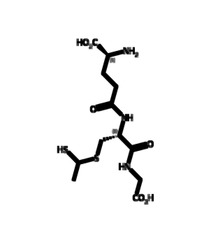 CC(S)SC[C@H](NC(=O)CC[C@H](N)C(=O)O)C(=O)NCC(=O)O